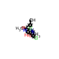 C#Cc1cccc(Cc2c(OC)nc3ccc(C(O)(c4ccc(Cl)cc4)c4cncn4C)cc3c2Cl)c1